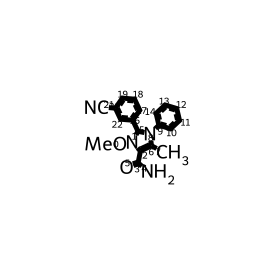 CON1C(C(N)=O)=C(C)N(c2ccccc2)C1c1cccc(C#N)c1